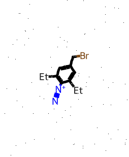 CCc1cc(CBr)cc(CC)c1[N+]#N